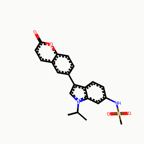 CC(C)n1cc(-c2ccc3oc(=O)ccc3c2)c2ccc(NS(C)(=O)=O)cc21